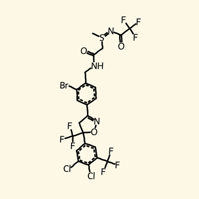 C/S(CC(=O)NCc1ccc(C2=NOC(c3cc(Cl)c(Cl)c(C(F)(F)F)c3)(C(F)(F)F)C2)cc1Br)=N/C(=O)C(F)(F)F